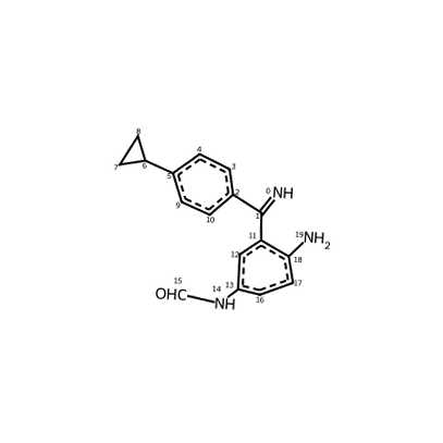 N=C(c1ccc(C2CC2)cc1)c1cc(NC=O)ccc1N